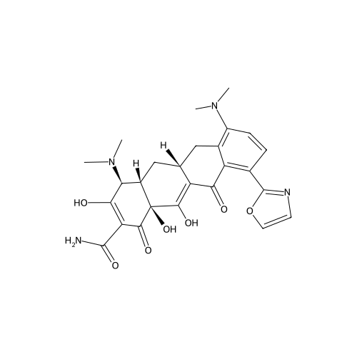 CN(C)c1ccc(-c2ncco2)c2c1C[C@H]1C[C@H]3[C@H](N(C)C)C(O)=C(C(N)=O)C(=O)[C@@]3(O)C(O)=C1C2=O